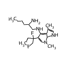 CCCCC(N)CNC1=C2C(C)=CNC2N(C)C=C1C(F)(CC)CF